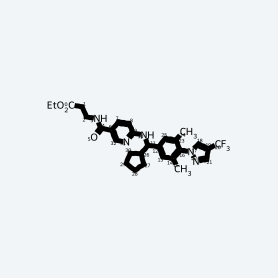 CCOC(=O)CCNC(=O)c1ccc(NC(c2cc(C)c(-n3cc(C(F)(F)F)cn3)c(C)c2)C2CCCC2)nc1